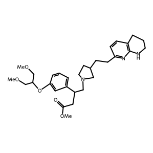 COCC(COC)Oc1cccc(C(CC(=O)OC)CN2CCC(CCc3ccc4c(n3)NCCC4)C2)c1